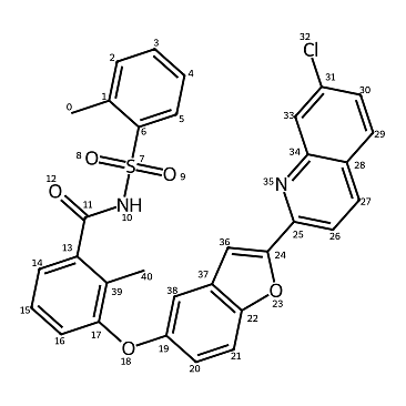 Cc1ccccc1S(=O)(=O)NC(=O)c1cccc(Oc2ccc3oc(-c4ccc5ccc(Cl)cc5n4)cc3c2)c1C